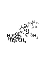 C=CC(=O)Oc1cc(B2OC(C)(C)C(C)(C)O2)ccc1OCCN1CCCC1